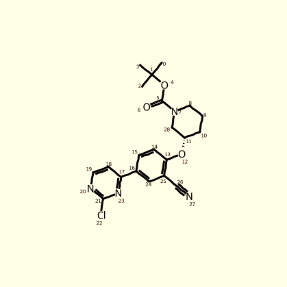 CC(C)(C)OC(=O)N1CCC[C@H](Oc2ccc(-c3ccnc(Cl)n3)cc2C#N)C1